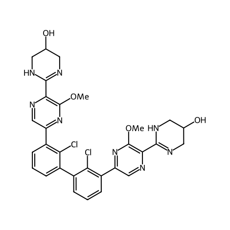 COc1nc(-c2cccc(-c3cccc(-c4cnc(C5=NCC(O)CN5)c(OC)n4)c3Cl)c2Cl)cnc1C1=NCC(O)CN1